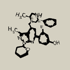 Cc1nn(C2CCCCO2)c2nc(-c3ccc(O)cc3F)cc(CN3C[C@@H](c4ccccc4)NC[C@@H]3C)c12